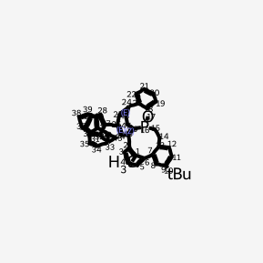 Cc1c2cccc1-c1cc(C(C)(C)C)ccc1CCP1Oc3ccccc3/C3=C/C(c4ccccc4C45C=Cc6ccccc6C4C5)=C\C2=C\1CC3